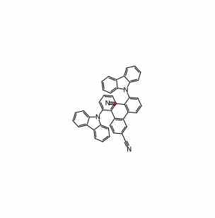 N#Cc1ccc(-c2ccccc2-n2c3ccccc3c3ccccc32)c(-c2cccc(-n3c4ccccc4c4ccccc43)c2C#N)c1